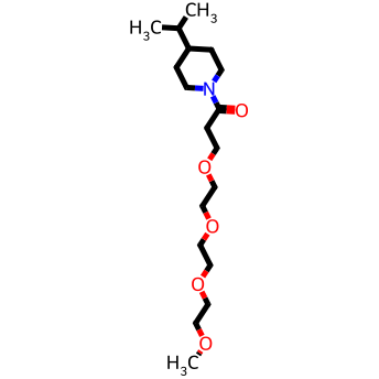 COCCOCCOCCOCCC(=O)N1CCC(C(C)C)CC1